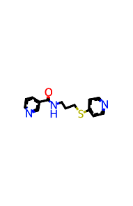 O=C(NCCCSc1ccncc1)c1cccnc1